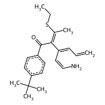 C=C/C=C(\C=C/N)C(/C(=O)c1ccc(C(C)(C)C)cc1)=C(\C)SCC